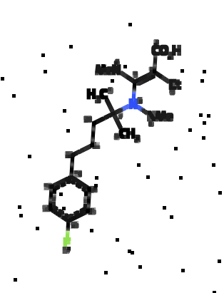 CC/C(C(=O)O)=C(/NC)N(NC)C(C)(C)CCCc1ccc(F)cc1